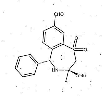 CCCC[C@]1(CC)CS(=O)(=O)c2cc(C=O)ccc2[C@@H](c2ccccc2)N1